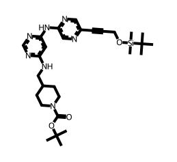 CC(C)(C)OC(=O)N1CCC(CNc2cc(Nc3cnc(C#CCO[Si](C)(C)C(C)(C)C)cn3)ncn2)CC1